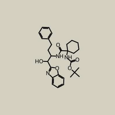 CC(C)(C)OC(=O)NC1(C(=O)NC(CCc2ccccc2)C(O)c2nc3ccccc3o2)CCCCC1